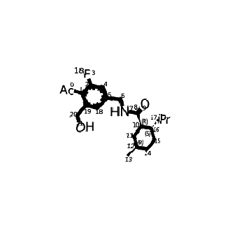 CC(=O)c1c([18F])cc(CNC(=O)[C@@H]2C[C@H](C)CC[C@H]2C(C)C)cc1CO